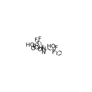 CN1C[C@H](C=CC(O)C(F)(F)c2ccccc2)N(CCCC(F)(F)SCP(=O)(O)O)C1=O